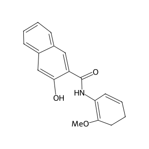 COC1=C(NC(=O)c2cc3ccccc3cc2O)C=CCC1